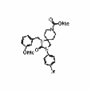 COC(=O)N1CCC2(CC1)CN(c1ccc(Br)cc1)C(=O)N2Cc1cccc(OC)c1